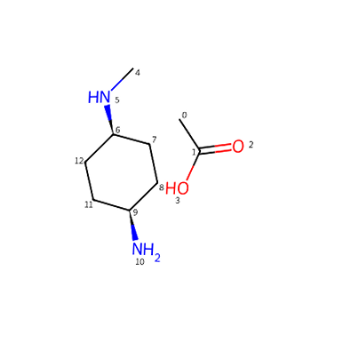 CC(=O)O.CN[C@H]1CC[C@@H](N)CC1